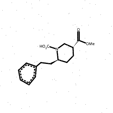 COC(=O)[C@@H]1CC[C@@H](CCc2ccccc2)N(C(=O)O)C1